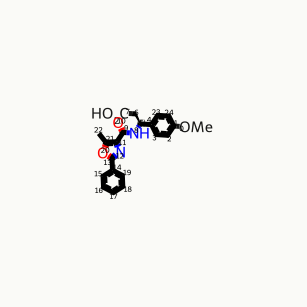 COc1ccc([C@H](CC(=O)O)NC(=O)c2nc(-c3ccccc3)oc2C)cc1